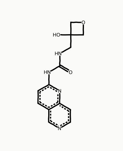 O=C(NCC1(O)COC1)Nc1ccc2cnccc2n1